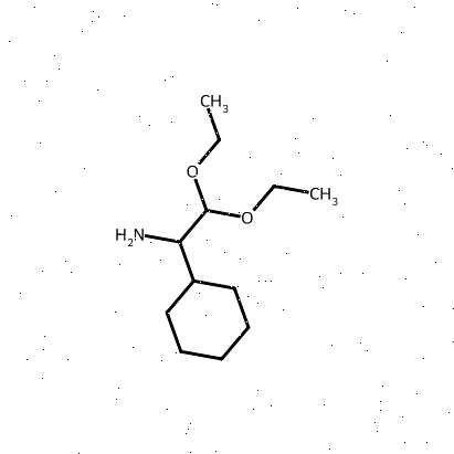 CCOC(OCC)C(N)C1CCCCC1